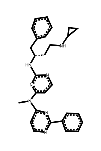 CN(c1ccnc(N[C@@H](CCNC2CC2)Cc2ccccc2)n1)c1ccnc(-c2ccccc2)n1